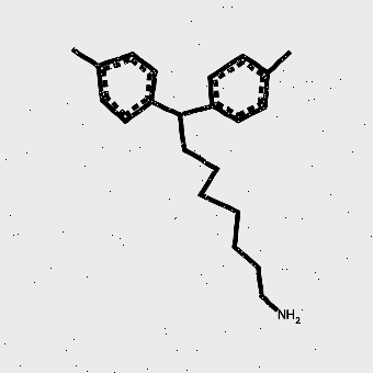 Cc1ccc(C(CCCCCCCN)c2ccc(C)cc2)cc1